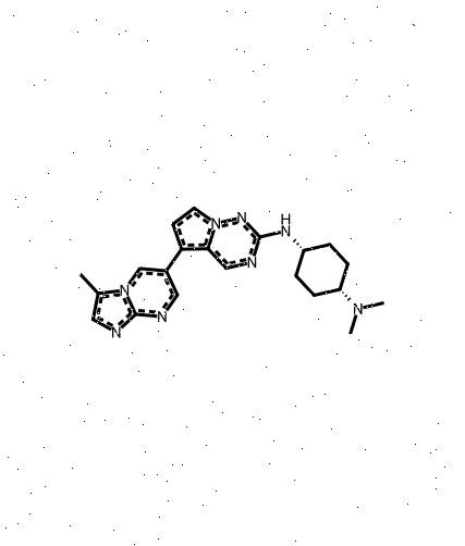 Cc1cnc2ncc(-c3ccn4nc(N[C@H]5CC[C@@H](N(C)C)CC5)ncc34)cn12